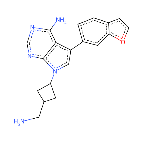 NCC1CC(n2cc(-c3ccc4ccoc4c3)c3c(N)ncnc32)C1